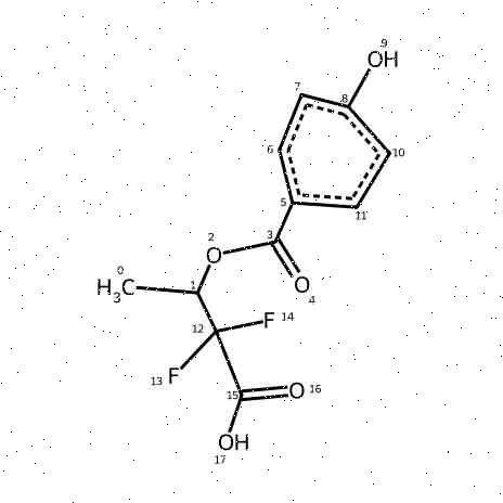 CC(OC(=O)c1ccc(O)cc1)C(F)(F)C(=O)O